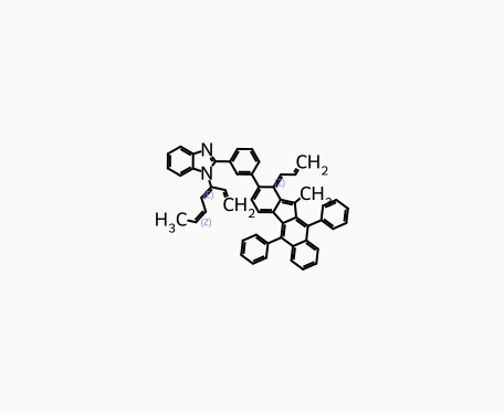 C=C/C=c1/c(-c2cccc(-c3nc4ccccc4n3/C(C=C)=C/C=C\C)c2)ccc2c1=C(C)c1c-2c(-c2ccccc2)c2ccccc2c1-c1ccccc1